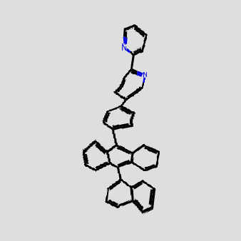 c1ccc(-c2ccc(-c3ccc(-c4c5ccccc5c(-c5cccc6ccccc56)c5ccccc45)cc3)cn2)nc1